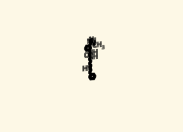 Cn1nnnc1-c1cccc(NC(=O)NCCCCNCCc2ccccc2)c1